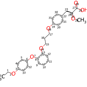 CCOc1ccc(Oc2ccccc2OCCCOc2ccc(C[C@H](OC)C(=O)O)cc2)cc1